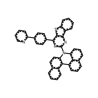 c1ccc(-c2ccc(-c3nc(N4c5ccc6ccccc6c5-c5cccc6cccc4c56)nc4c3sc3ccccc34)cc2)nc1